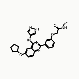 CC(C)NC(=O)COc1cccc(-c2nc(Nc3cn[nH]c3)c3cc(OC4CCCC4)ccc3n2)c1